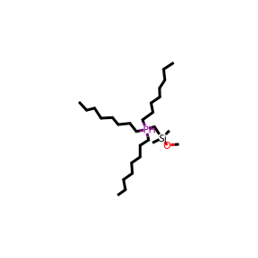 CCCCCCCC[PH](CCCCCCCC)(CCCCCCCC)C[Si](C)(C)OC